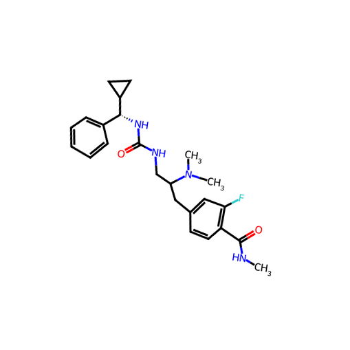 CNC(=O)c1ccc(CC(CNC(=O)N[C@H](c2ccccc2)C2CC2)N(C)C)cc1F